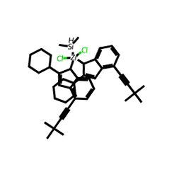 C[SiH](C)[Zr]([Cl])([Cl])([CH]1C(C2CCCCC2)=Cc2c(C#CC(C)(C)C)cccc21)[CH]1C(C2CCCCC2)=Cc2c(C#CC(C)(C)C)cccc21